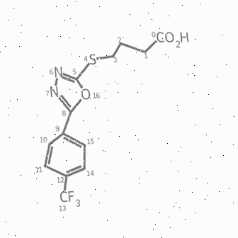 O=C(O)CCCSc1nnc(-c2ccc(C(F)(F)F)cc2)o1